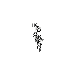 Cc1ccc(-c2ccnc(C(C)(C)O)n2)cc1-n1c(C)nc(OCc2ccc(F)cc2F)c(Br)c1=O